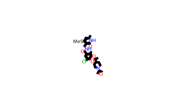 CSc1cc(C)[nH]c(=O)c1CNC(=O)c1cc(Cl)c2c(c1C)OC(C)(C1CCN(C3COC3)CC1)O2